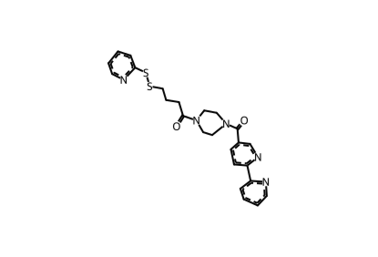 O=C(CCCSSc1ccccn1)N1CCN(C(=O)c2ccc(-c3ccccn3)nc2)CC1